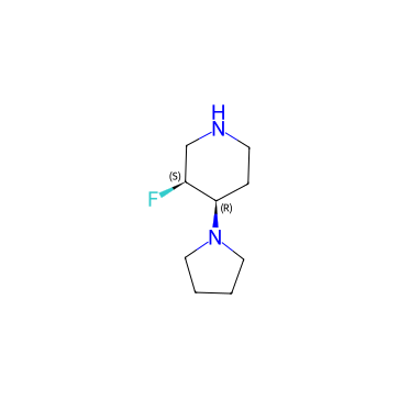 F[C@H]1CNCC[C@H]1N1CCCC1